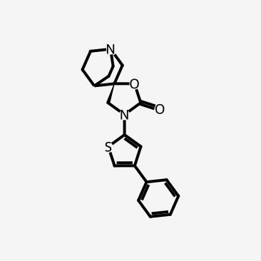 O=C1O[C@]2(CN3CCC2CC3)CN1c1cc(-c2ccccc2)cs1